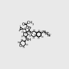 CC(=O)OC(C1CC1)[C@]1(C(=O)N2CCc3ccc(N=[N+]=[N-])cc3C2)CC[C@@H](NC2CCOCC2)C1